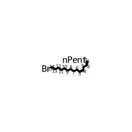 CCCCC/C=C\C/C=C\CCCCCCCCCBr